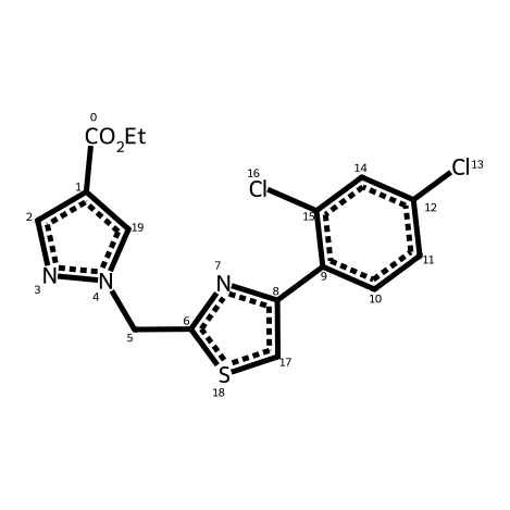 CCOC(=O)c1cnn(Cc2nc(-c3ccc(Cl)cc3Cl)cs2)c1